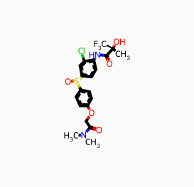 CN(C)C(=O)COc1ccc([S+]([O-])c2ccc(NC(=O)[C@@](C)(O)C(F)(F)F)c(Cl)c2)cc1